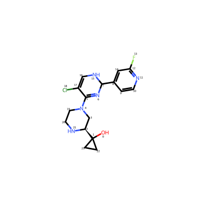 OC1([C@@H]2CN(C3=NC(c4ccnc(F)c4)NC=C3Cl)CCN2)CC1